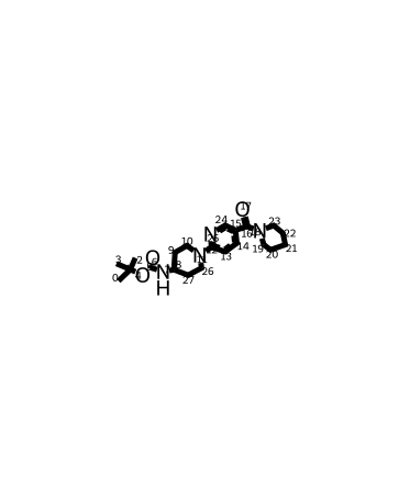 CC(C)(C)OC(=O)NC1CCN(c2ccc(C(=O)N3CCCCC3)cn2)CC1